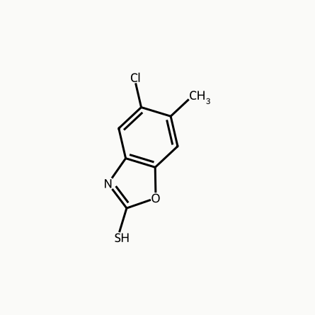 Cc1cc2oc(S)nc2cc1Cl